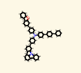 c1ccc(-c2ccc(-c3ccc(N(c4ccc(-c5ccc6c(c5)oc5ccccc56)cc4)c4ccc(-c5ccc6c7cccc8c9ccccc9n(c6c5)c87)cc4)cc3)cc2)cc1